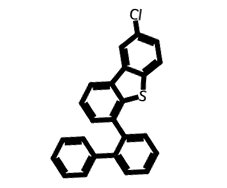 Clc1ccc2sc3c(-c4ccccc4-c4ccccc4)cccc3c2c1